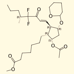 CCC[C@@H](C)C(F)(F)C(=O)C=C[C@@H]1[C@@H](CCCCCCC(=O)OC)[C@@H](OC(C)=O)C[C@H]1OC1CCCCO1